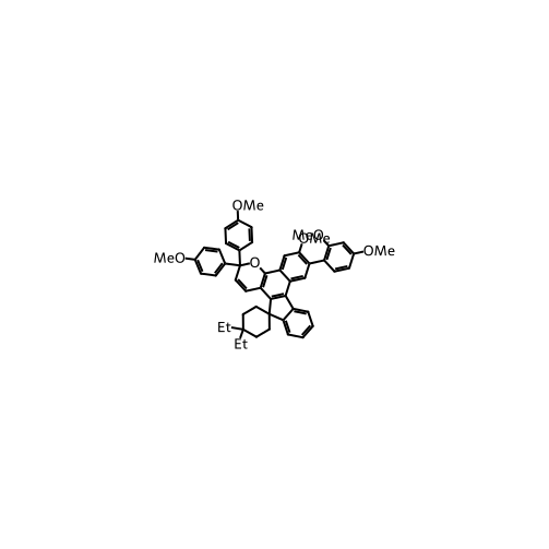 CCC1(CC)CCC2(CC1)c1ccccc1-c1c2c2c(c3cc(OC)c(-c4ccc(OC)cc4OC)cc13)OC(c1ccc(OC)cc1)(c1ccc(OC)cc1)C=C2